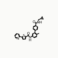 Cc1ccc(NC(=O)c2ccc(-c3ccccn3)s2)cc1-c1ccc(C(=O)NCC2CC2)cc1